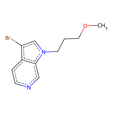 COCCCn1cc(Br)c2ccncc21